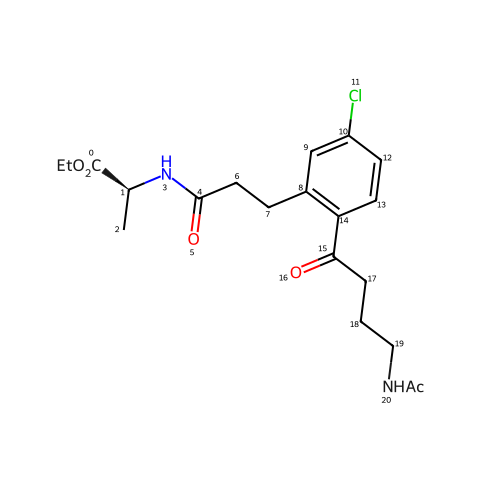 CCOC(=O)[C@H](C)NC(=O)CCc1cc(Cl)ccc1C(=O)CCCNC(C)=O